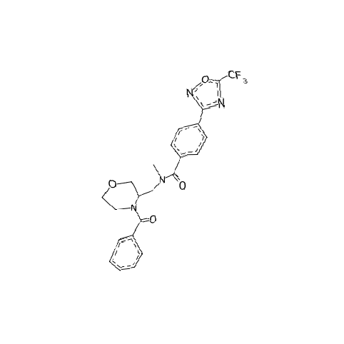 CN(CC1COCCN1C(=O)c1ccccc1)C(=O)c1ccc(-c2noc(C(F)(F)F)n2)cc1